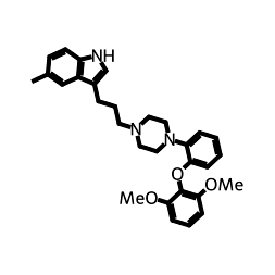 COc1cccc(OC)c1Oc1ccccc1N1CCN(CCCc2c[nH]c3ccc(C)cc23)CC1